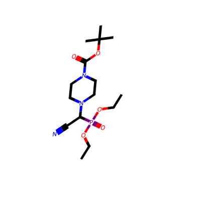 CCOP(=O)(OCC)C(C#N)N1CCN(C(=O)OC(C)(C)C)CC1